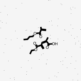 C=C(C)C(=O)OCCCC.C=C(C=C(C)C(=O)O)C(=O)OCC